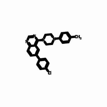 Cc1ccc(N2CCN(c3ncnc4ccc(-c5ccc(Cl)cc5)cc34)CC2)cc1